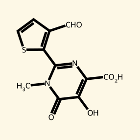 Cn1c(-c2sccc2C=O)nc(C(=O)O)c(O)c1=O